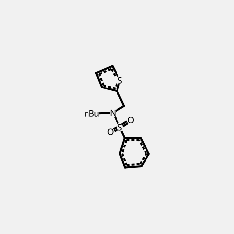 CCCCN(Cc1cccs1)S(=O)(=O)c1ccccc1